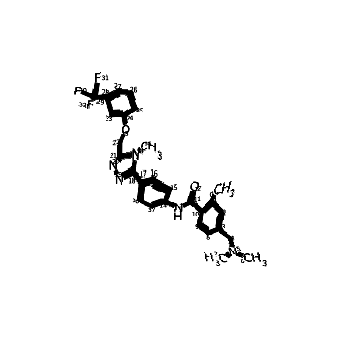 Cc1cc(CN(C)C)ccc1C(=O)Nc1ccc(-c2nnc(COc3cccc(C(F)(F)F)c3)n2C)cc1